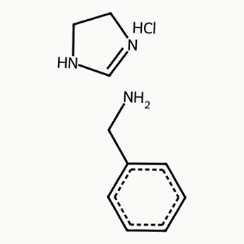 C1=NCCN1.Cl.NCc1ccccc1